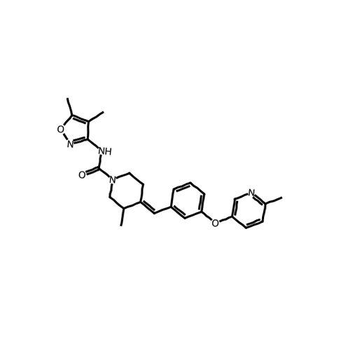 Cc1ccc(Oc2cccc(C=C3CCN(C(=O)Nc4noc(C)c4C)CC3C)c2)cn1